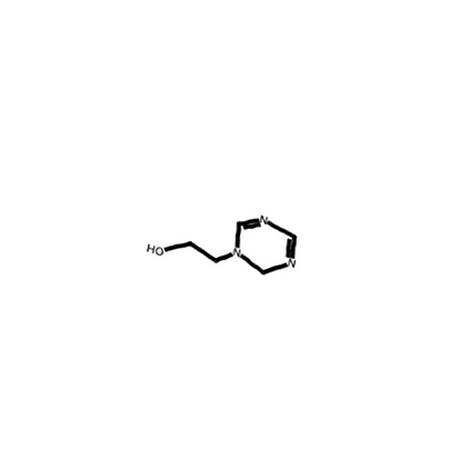 OCCN1C=NC=NC1